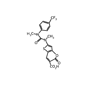 CN(C(=O)N(C)c1cc2oc(=O)c(C(=O)O)cc2s1)c1ccc(C(F)(F)F)cc1